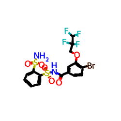 NS(=O)(=O)c1ccccc1S(=O)(=O)NC(=O)c1ccc(Br)c(OCC(F)(F)C(F)F)c1